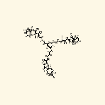 CCC1(N(C)C(=O)CC(=O)NCCCCc2cc(CCCCNC(=O)CC(=O)N(C)C34CC5CC(CC(C5)C3)C4)cc(CCCCNC(=O)CC(=O)N(C)C34CC5CC(CC(C5)C3)C4)c2)CC2CC(C)CC(C2)C1